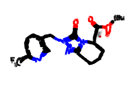 CC(C)(C)OC(=O)[C@H]1CCCc2nn(Cc3ccc(C(F)(F)F)nc3)c(=O)n21